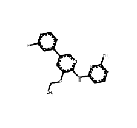 CCOc1cc(-c2cccc(F)c2)cnc1Nc1cccc(C)n1